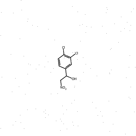 O=[N+]([O-])CC(O)c1ccc(Cl)c(Cl)c1